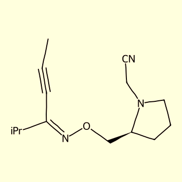 CC#C/C(=N\OC[C@@H]1CCCN1CC#N)C(C)C